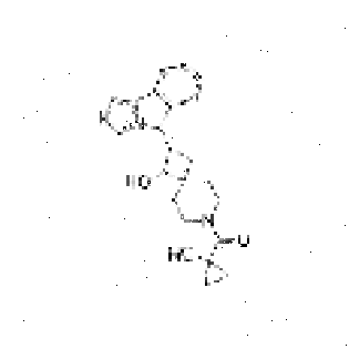 N#CC1(C(=O)N2CCC3(CC2)C[C@@H]([C@H]2c4ccccc4-c4cncn42)[C@H]3O)CC1